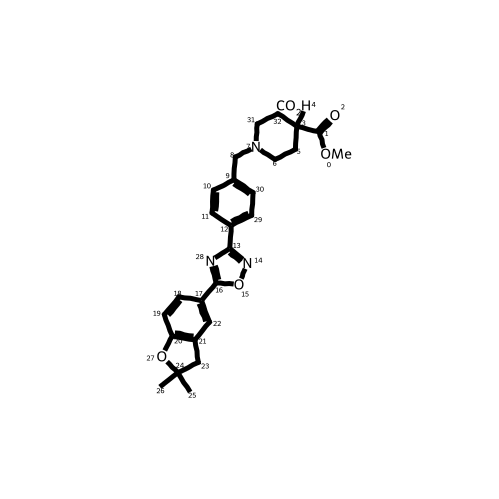 COC(=O)C1(C(=O)O)CCN(Cc2ccc(-c3noc(-c4ccc5c(c4)CC(C)(C)O5)n3)cc2)CC1